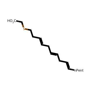 CCCCCC=CCC=CCC=CCCSCC(=O)O